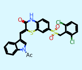 CC(=O)n1cc(/C=C2\Sc3cc(S(=O)(=O)Cc4c(Cl)cccc4Cl)ccc3NC2=O)c2ccccc21